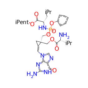 CCC[C@H](C)OC(=O)[C@H](CC(C)C)NP(=O)(OC[C@@]1(COC(=O)[C@H](N)C(C)C)C/C1=C/n1cnc2c(=O)[nH]c(N)nc21)Oc1ccccc1